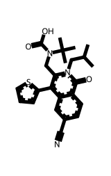 CC(C)Cn1c(CN(C(=O)O)C(C)(C)C)c(-c2cccs2)c2cc(C#N)ccc2c1=O